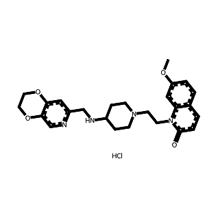 COc1ccc2ccc(=O)n(CCN3CCC(NCc4cc5c(cn4)OCCO5)CC3)c2c1.Cl